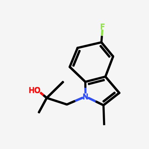 Cc1cc2cc(F)ccc2n1CC(C)(C)O